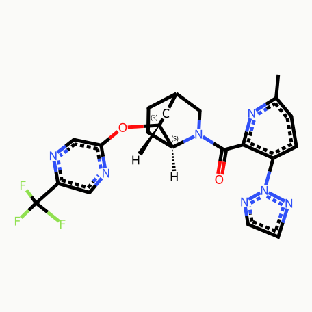 Cc1ccc(-n2nccn2)c(C(=O)N2CC3CC[C@H]2[C@H](Oc2cnc(C(F)(F)F)cn2)C3)n1